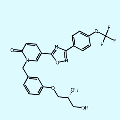 O=c1ccc(-c2nc(-c3ccc(OC(F)(F)F)cc3)no2)cn1Cc1cccc(OC[C@H](O)CO)c1